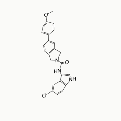 COc1ccc(-c2ccc3c(c2)CN(C(=O)Nc2c[nH]c4ccc(Cl)cc24)C3)cc1